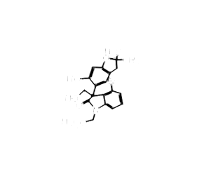 CC1(C)Cc2cc(C3(CO)C(=O)N(CC(=O)O)c4cccc(Br)c43)c(O)cc2O1